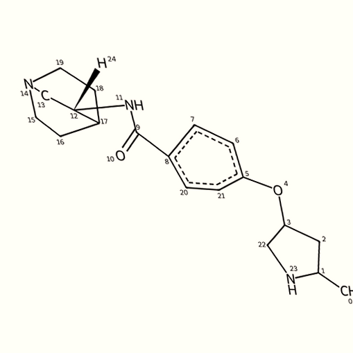 CC1CC(Oc2ccc(C(=O)N[C@H]3CN4CCC3CC4)cc2)CN1